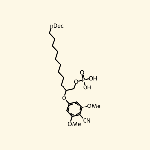 CCCCCCCCCCCCCCCCCCCC(COP(=O)(O)O)Oc1cc(OC)c(C#N)c(OC)c1